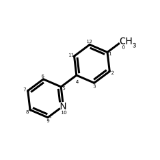 Cc1ccc(-c2ccc[c]n2)cc1